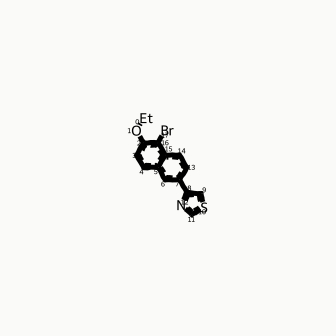 CCOc1ccc2cc(-c3cs[c]n3)ccc2c1Br